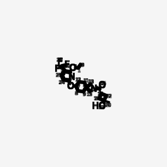 CCOc1nc(OC2CCC3(CC2)CN(C(=O)[C@H]2C[C@@](C)(O)C2)C3)ccc1C(F)(F)F